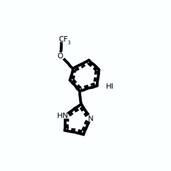 FC(F)(F)Oc1cccc(-c2ncc[nH]2)c1.I